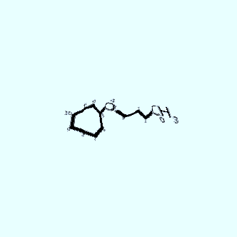 CCC[CH]OC1CCCCCCC1